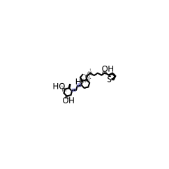 C=C1/C(=C\C=C2/CCC[C@]3(C)[C@@H]([C@H](C)CCC[C@@H](O)c4cccs4)CC[C@@H]23)C[C@@H](O)C[C@@H]1O